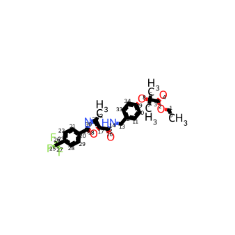 CCOC(=O)C(C)(C)Oc1ccc(CNC(=O)c2oc(-c3ccc(C(F)(F)F)cc3)nc2C)cc1